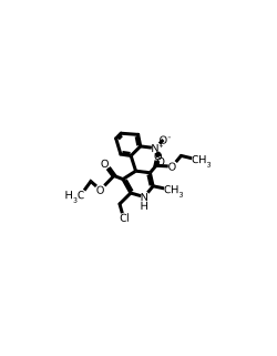 CCOC(=O)C1=C(C)NC(CCl)=C(C(=O)OCC)C1c1ccccc1[N+](=O)[O-]